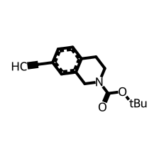 C#Cc1ccc2c(c1)CN(C(=O)OC(C)(C)C)CC2